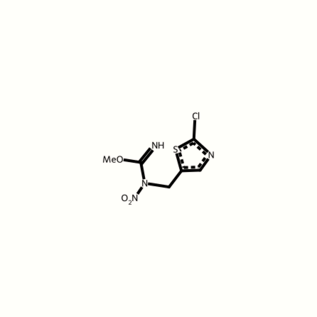 COC(=N)N(Cc1cnc(Cl)s1)[N+](=O)[O-]